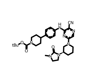 CN1CCN([C@@H]2CCCN(c3cnc(C#N)c(Nc4ccc(C5CCN(C(=O)OC(C)(C)C)CC5)cc4)n3)C2)C1=O